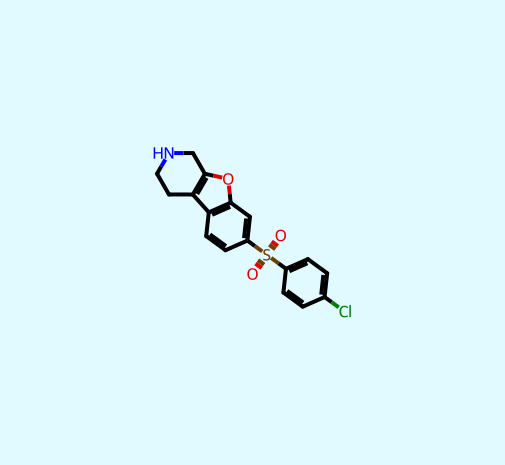 O=S(=O)(c1ccc(Cl)cc1)c1ccc2c3c(oc2c1)CNCC3